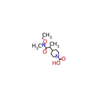 CCON(C)C(=O)C(C)C1CCN(C(=O)O)CC1